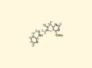 COc1cc([C@H](C)C(=O)N(C)CC[C@H]2CCc3ccc(C)nc3N2)nc(C)n1